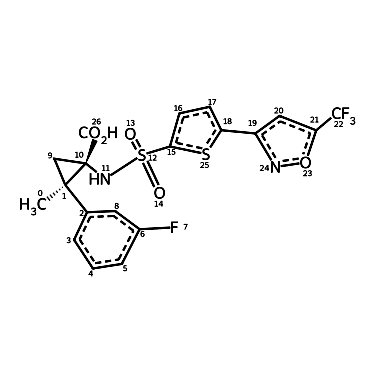 C[C@]1(c2cccc(F)c2)C[C@@]1(NS(=O)(=O)c1ccc(-c2cc(C(F)(F)F)on2)s1)C(=O)O